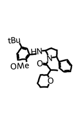 COc1ccc(C(C)(C)C)cc1CNC1CCC(c2ccccc2)N1C(=O)C(C)C1CCCCO1